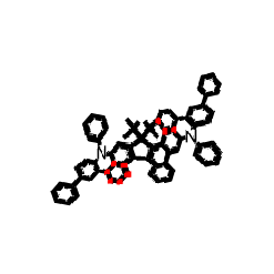 CC(C)(C)C1(C(C)(C)C)c2cc(N(c3ccccc3)c3ccc(-c4ccccc4)cc3-c3ccccc3)c3ccccc3c2-c2c1c1ccc(N(c3ccccc3)c3ccc(-c4ccccc4)cc3-c3ccccc3)cc1c1ccccc21